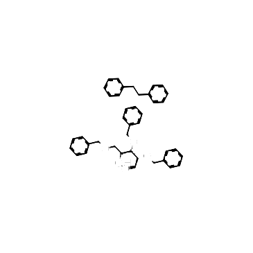 O=C[C@@H](OCc1ccccc1)[C@H](OCc1ccccc1)[C@@H](O)COCc1ccccc1.c1ccc(CCc2ccccc2)cc1